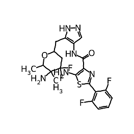 CC1OC(Cc2[nH]ncc2NC(=O)c2nc(-c3c(F)cccc3F)sc2N)CC(F)(F)C1(C)N